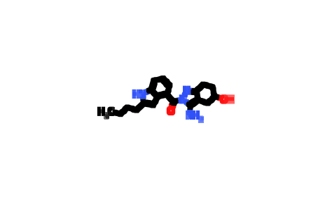 CCCCc1cc2c(C(=O)n3nc4c(c3N)CC(O)CC4)cccc2[nH]1